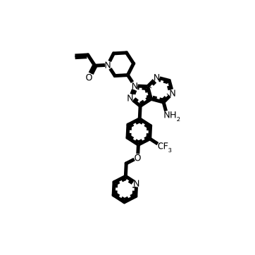 C=CC(=O)N1CCCC(n2nc(-c3ccc(OCc4ccccn4)c(C(F)(F)F)c3)c3c(N)ncnc32)C1